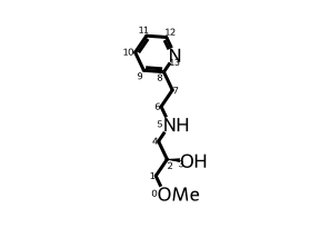 COC[C@H](O)CNCCc1ccccn1